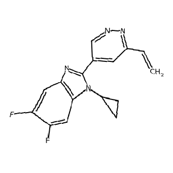 C=Cc1cc(-c2nc3cc(F)c(F)cc3n2C2CC2)cnn1